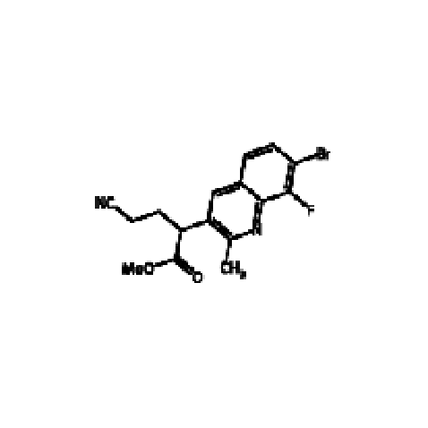 COC(=O)C(CCC#N)c1cc2ccc(Br)c(F)c2nc1C